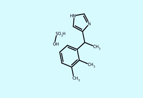 Cc1cccc(C(C)c2c[nH]cn2)c1C.O=S(=O)(O)O